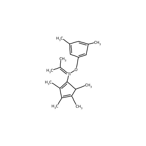 CC1=C(C)C(C)[C]([Ti]([O]c2cc(C)cc(C)c2)=[C](C)C)=C1C